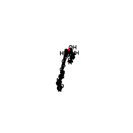 Cc1ncsc1-c1ccc([C@H](C)NC(=O)[C@@H]2C[C@@H](O)CN2C(=O)[C@@H](NC(=O)COCCOCCOCCOC2CCN(c3ccc(-c4nc5ccc(N6CCN(C)CC6=O)cc5s4)cn3)C2)C(C)(C)C)cc1